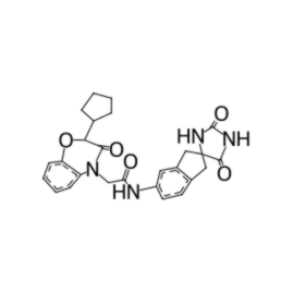 O=C(CN1C(=O)C(C2CCCC2)Oc2ccccc21)Nc1ccc2c(c1)CC1(C2)NC(=O)NC1=O